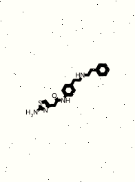 Nc1nc(CC(=O)Nc2ccc(CCNCCc3ccccc3)cc2)cs1